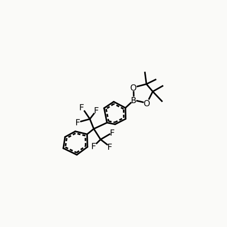 CC1(C)OB(c2ccc(C(c3ccccc3)(C(F)(F)F)C(F)(F)F)cc2)OC1(C)C